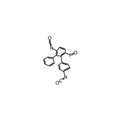 O=C=Nc1ccc(-c2c(P=O)ccc(N=C=O)c2-c2ccccc2)cc1